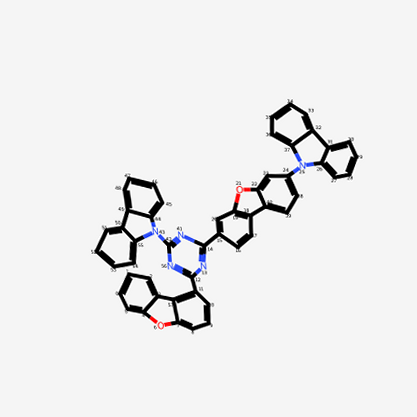 c1ccc2c(c1)oc1cccc(-c3nc(-c4ccc5c(c4)oc4cc(-n6c7ccccc7c7ccccc76)ccc45)nc(-n4c5ccccc5c5ccccc54)n3)c12